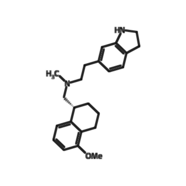 COc1cccc2c1CCC[C@H]2CN(C)CCc1ccc2c(c1)NCC2